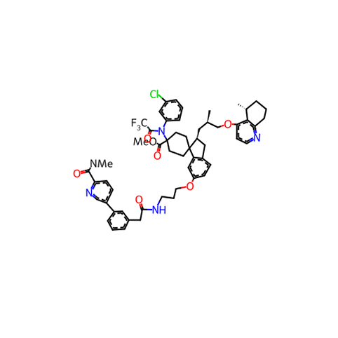 CNC(=O)c1ccc(-c2cccc(CC(=O)NCCCOc3ccc4c(c3)C3(CCC(C(=O)OC)(N(C(=O)C(F)(F)F)c5cccc(Cl)c5)CC3)[C@@H](C[C@@H](C)COc3ccnc5c3[C@H](C)CCC5)C4)c2)cn1